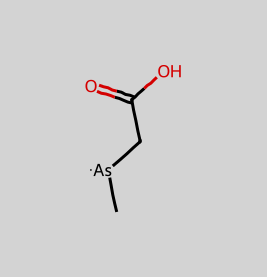 C[As]CC(=O)O